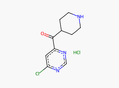 Cl.O=C(c1cc(Cl)ncn1)C1CCNCC1